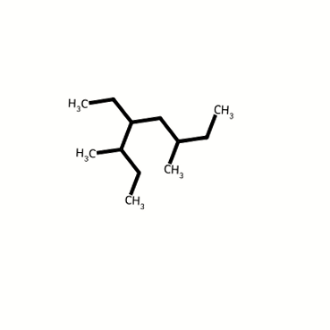 CCC(C)CC(CC)C(C)CC